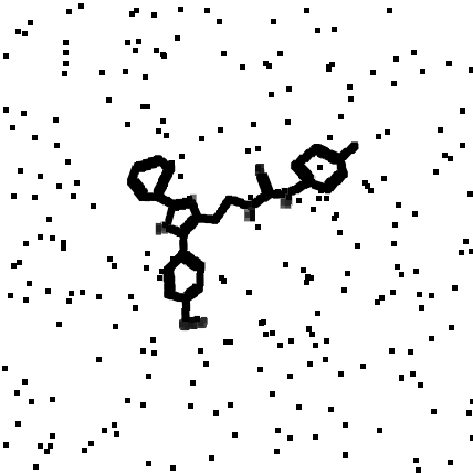 COc1ccc(-c2[nH]c(-c3ccccc3)nc2CCNC(=S)Nc2ccc(C)cc2)cc1